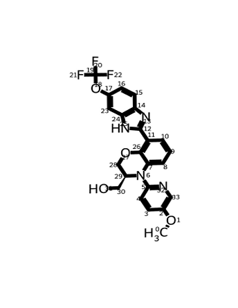 COc1ccc(N2c3cccc(-c4nc5ccc(OC(F)(F)F)cc5[nH]4)c3OC[C@@H]2CO)nc1